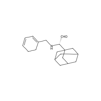 O=C[C@@H](NCC1=CC=CCC1)C12CC3CC(CC(C3)C1)C2